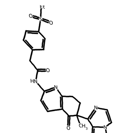 CCS(=O)(=O)c1ccc(CC(=O)Nc2ccc3c(n2)CCC(C)(c2nccn4ccnc24)C3=O)cc1